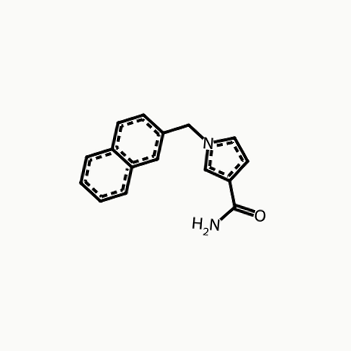 NC(=O)c1ccn(Cc2ccc3ccccc3c2)c1